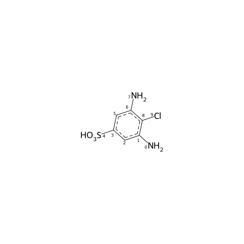 Nc1cc(S(=O)(=O)O)cc(N)c1Cl